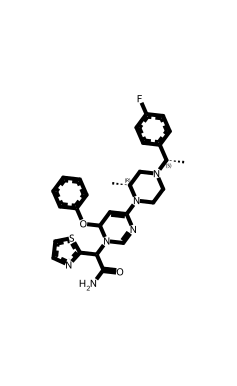 C[C@@H]1CN([C@@H](C)c2ccc(F)cc2)CCN1C1=CC(Oc2ccccc2)N(C(C(N)=O)c2nccs2)C=N1